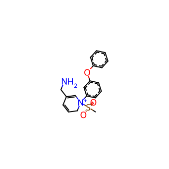 CS(=O)(=O)[N+]1(c2cccc(Oc3ccccc3)c2)C=C(CN)C=CC1